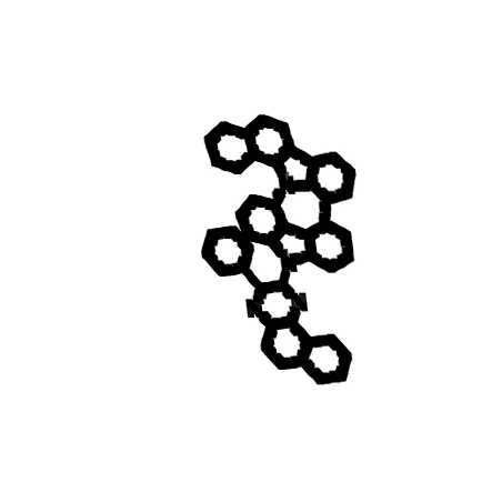 c1ccc(-c2nc3ccc4ccccc4c3nc2-n2c3cccc4c5cccc6c7ccc8ccccc8c7n(c7cccc2c7c43)c56)cc1